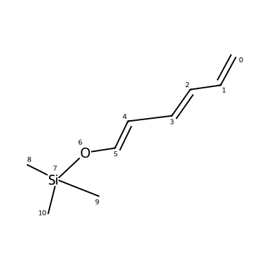 C=CC=CC=CO[Si](C)(C)C